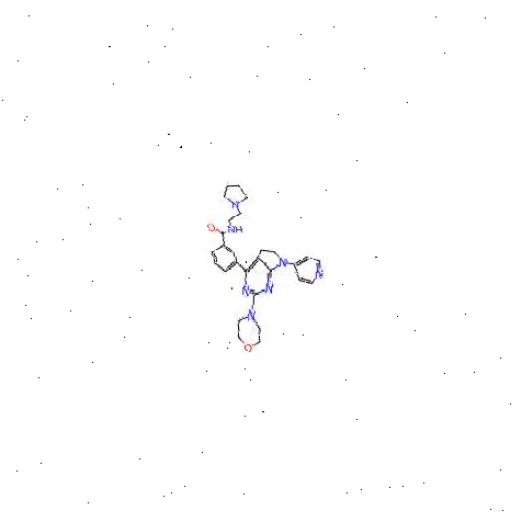 O=C(NCCN1CCCC1)c1cccc(-c2nc(N3CCOCC3)nc3c2CCN3c2ccncc2)c1